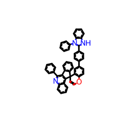 c1ccc(-c2nc3ccccc3c3c2-c2ccccc2C32c3ccccc3Oc3ccc(-c4ccc(C5Nc6ccccc6N5c5ccccc5)cc4)cc32)cc1